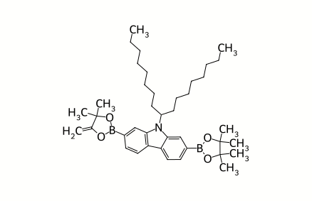 C=C1OB(c2ccc3c4ccc(B5OC(C)(C)C(C)(C)O5)cc4n(C(CCCCCCCC)CCCCCCCC)c3c2)OC1(C)C